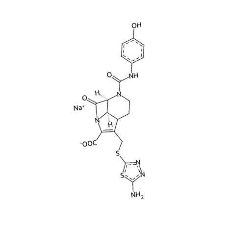 Nc1nnc(SCC2=C(C(=O)[O-])N3C(=O)[C@@H]4[C@H]3C2CCN4C(=O)Nc2ccc(O)cc2)s1.[Na+]